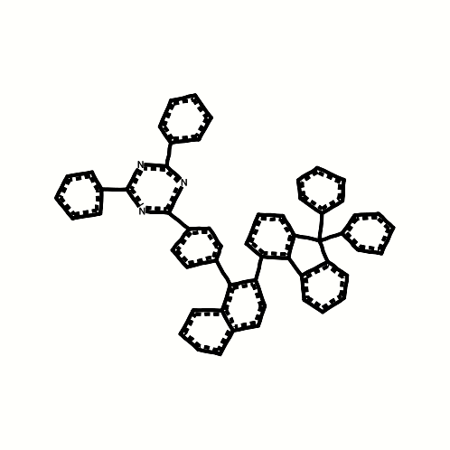 c1ccc(-c2nc(-c3ccccc3)nc(-c3ccc(-c4c(-c5cccc6c5-c5ccccc5C6(c5ccccc5)c5ccccc5)ccc5ccccc45)cc3)n2)cc1